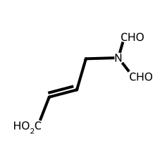 O=CN(C=O)C/C=C/C(=O)O